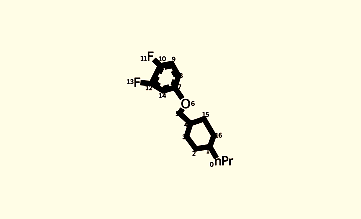 CCCC1CCC(COc2ccc(F)c(F)c2)CC1